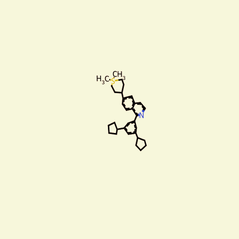 CS1(C)CCC(c2ccc3c(-c4cc(C5CCCC5)cc(C5CCCC5)c4)nccc3c2)CC1